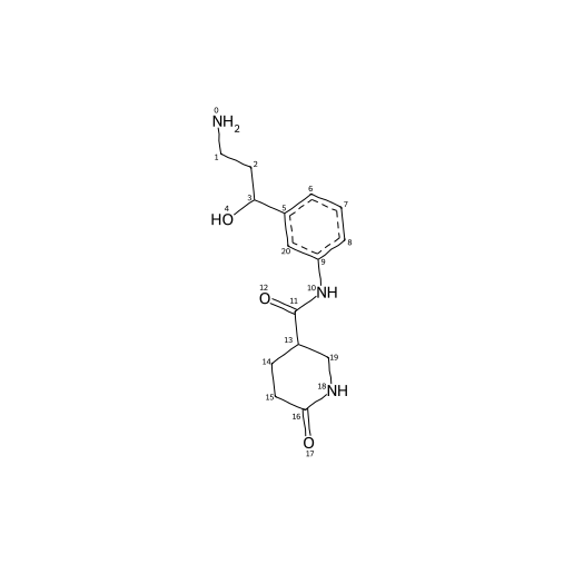 NCCC(O)c1cccc(NC(=O)C2CCC(=O)NC2)c1